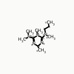 CCCN(C)C1=NC(C)N=C(N(C)C)N1C